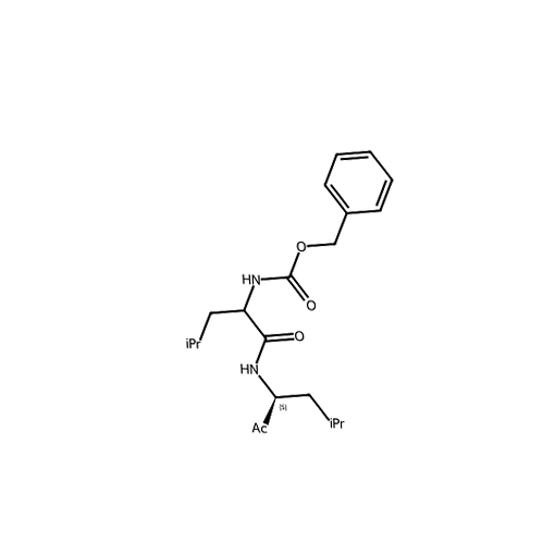 CC(=O)[C@H](CC(C)C)NC(=O)C(CC(C)C)NC(=O)OCc1ccccc1